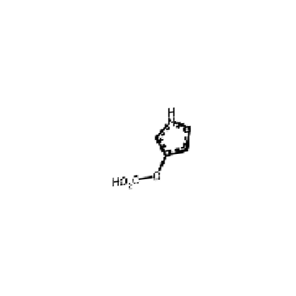 O=C(O)Oc1cc[nH]c1